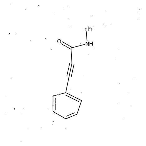 CCCNC(=O)C#Cc1ccccc1